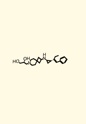 CC/C(=C\c1ccccc1)[C@@H]1C[C@H]1NC1CC2(CCN(C[C@H](O)CO)CC2)C1